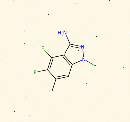 Cc1cc2c(c(N)nn2F)c(F)c1F